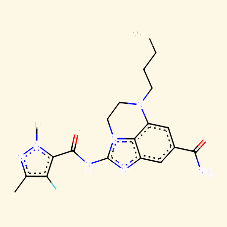 CCn1nc(C)c(F)c1C(=O)Nc1nc2cc(C(N)=O)cc3c2n1CCN3CCCOC